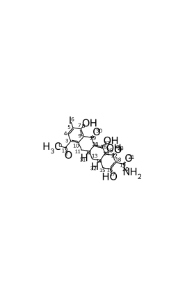 CC(=O)c1cc(I)c(O)c2c1C[C@H]1C[C@H]3CC(O)=C(C(N)=O)C(=O)[C@@]3(O)C(O)=C1C2=O